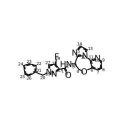 O=C(N[C@@H]1COc2cccnc2-n2ccnc21)c1nn(Cc2ccccc2)cc1F